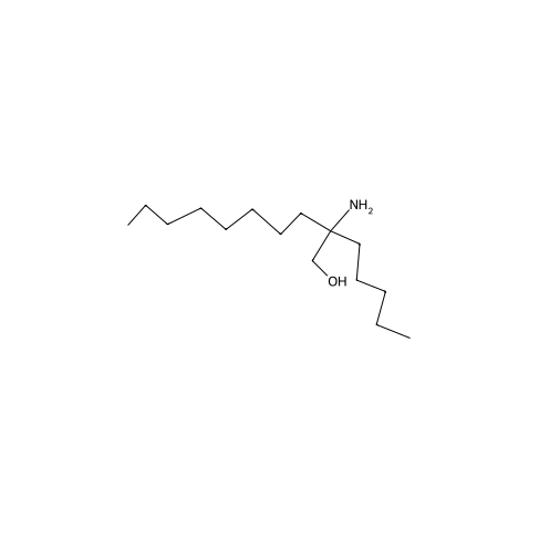 CCCCCCCCC(N)(CO)CCCCC